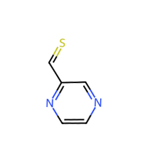 S=Cc1cnccn1